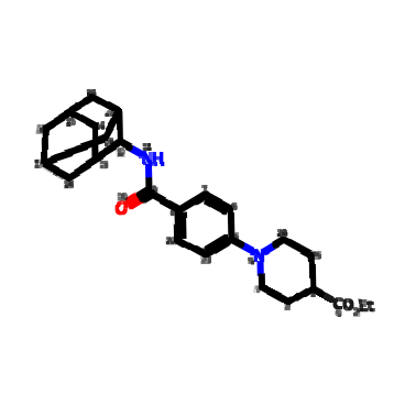 CCOC(=O)C1CCN(c2ccc(C(=O)NC3C4CC5CC(C4)CC3C5)cc2)CC1